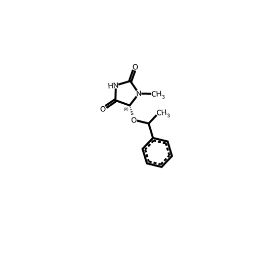 CC(O[C@@H]1C(=O)NC(=O)N1C)c1ccccc1